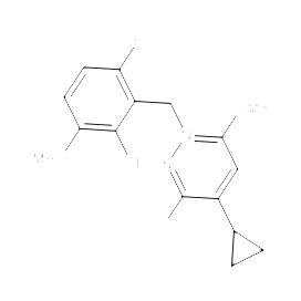 COc1ccc(C)c(C[n+]2nc(C)c(C3CC3)cc2SC)c1C.[I-]